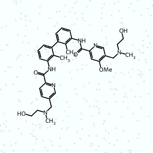 COc1cc(C(=O)Nc2cccc(-c3cccc(NC(=O)c4ccc(CN(C)CCO)cn4)c3C)c2C)ncc1CN(C)CCO